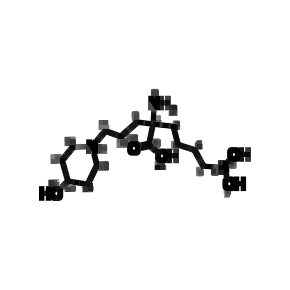 NC(CCCCB(O)O)(CCCN1CCC(O)CC1)C(=O)O